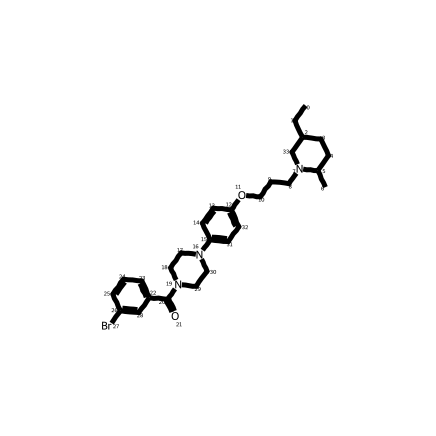 CCC1CCC(C)N(CCCOc2ccc(N3CCN(C(=O)c4cccc(Br)c4)CC3)cc2)C1